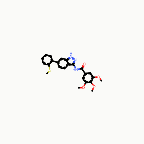 COc1cc(C(=O)Nc2n[nH]c3cc(-c4ccccc4SC)ccc23)cc(OC)c1OC